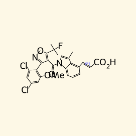 COc1cc(Cl)cc(Cl)c1-c1noc(C(C)(C)F)c1C(=O)n1cc(C)c2c(/C=C/C(=O)O)cccc21